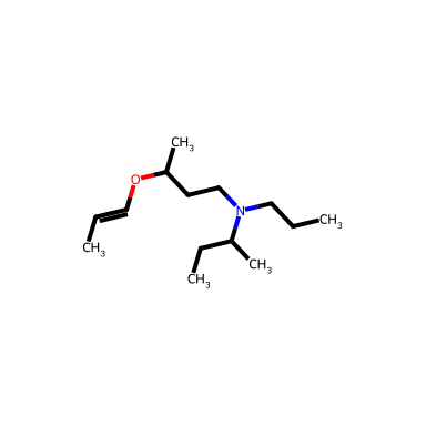 CC=COC(C)CCN(CCC)C(C)CC